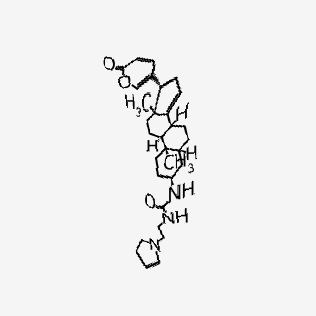 C[C@]12CC[C@H](NC(=O)NCCN3CCCC3)C[C@H]1CC[C@H]1C3=CC[C@H](c4ccc(=O)oc4)[C@@]3(C)CC[C@@H]12